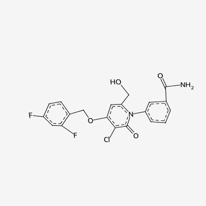 NC(=O)c1cccc(-n2c(CO)cc(OCc3ccc(F)cc3F)c(Cl)c2=O)c1